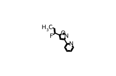 C/C=C(\F)c1cc(-c2ccccn2)no1